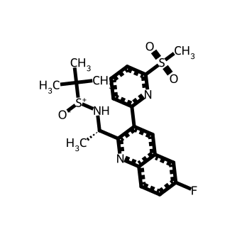 C[C@H](N[S+]([O-])C(C)(C)C)c1nc2ccc(F)cc2cc1-c1cccc(S(C)(=O)=O)n1